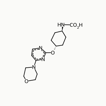 O=C(O)N[C@H]1CC[C@H](Oc2nccc(N3CCOCC3)n2)CC1